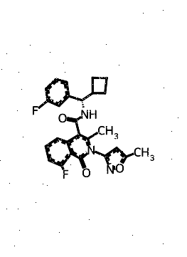 Cc1cc(-n2c(C)c(C(=O)N[C@H](c3cccc(F)c3)C3CCC3)c3cccc(F)c3c2=O)no1